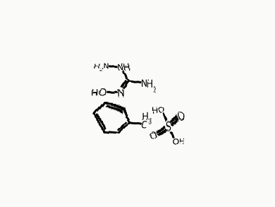 Cc1ccccc1.NNC(N)=NO.O=S(=O)(O)O